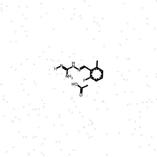 CC(=O)O.[H]/N=C(\N)NN=Cc1c(C)cccc1F